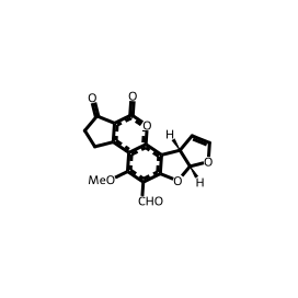 COc1c(C=O)c2c(c3oc(=O)c4c(c13)CCC4=O)[C@@H]1C=CO[C@@H]1O2